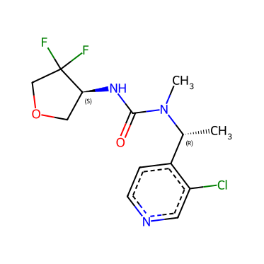 C[C@H](c1ccncc1Cl)N(C)C(=O)N[C@H]1COCC1(F)F